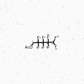 CC(=O)OCC(F)(F)C(F)(F)C(F)(F)C(F)F